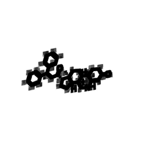 C[C@]12CC[C@H]3[C@@H](CNC4=CC(=O)CC[C@@]43C)[C@@H]1CC[C@@H]2C(=O)CC(c1ccccc1)c1ccccc1